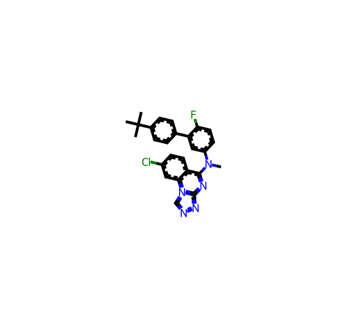 CN(c1ccc(F)c(-c2ccc(C(C)(C)C)cc2)c1)c1nc2nncn2c2cc(Cl)ccc12